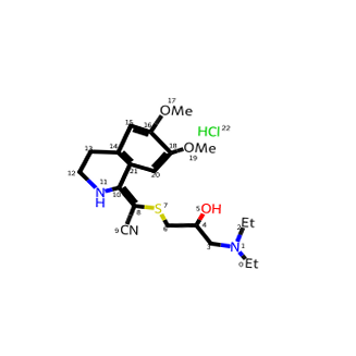 CCN(CC)CC(O)CSC(C#N)=C1NCCc2cc(OC)c(OC)cc21.Cl